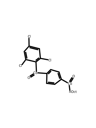 CCCCCCC[CH2][Co](=[O])[c]1cc[c]([Co](=[O])[c]2c(Cl)cc(Cl)cc2Cl)cc1